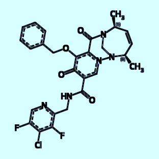 C[C@@H]1C=C[C@H](C)N2CN1n1cc(C(=O)NCc3ncc(F)c(Cl)c3F)c(=O)c(OCc3ccccc3)c1C2=O